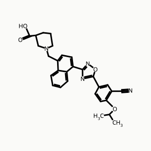 CC(C)Oc1ccc(-c2nc(-c3ccc(CN4CCCC(C(=O)O)C4)c4ccccc34)no2)cc1C#N